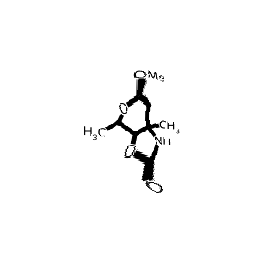 COC1CC2(C)NC(=O)OC2C(C)O1